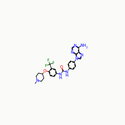 CN1CCC(Oc2ccc(NC(=O)Nc3ccc(-n4cnc5c(N)ncnc54)cc3)cc2C(F)(F)F)CC1